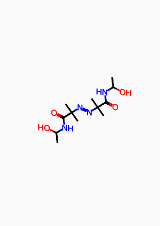 CC(O)NC(=O)C(C)(C)/N=N/C(C)(C)C(=O)NC(C)O